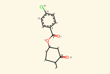 CC1CCC(OC(=O)c2ccc(Cl)cc2)CC1=O